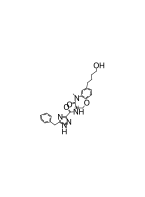 CN1C(=O)[C@@H](NC(=O)c2n[nH]c(Cc3ccccc3)n2)COc2ccc(CCCCO)cc21